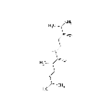 CC(C)SC[C@H](N)C(=O)NCCC(=O)C(C)C